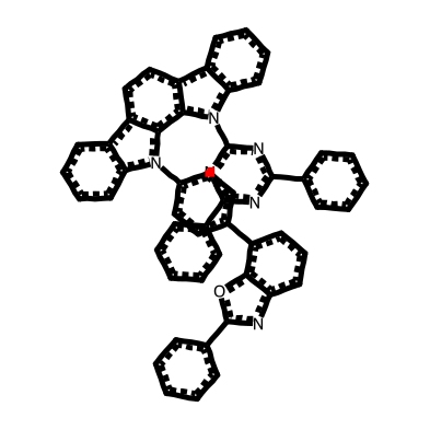 c1ccc(-c2nc(-c3ccccc3)nc(-n3c4ccccc4c4ccc5c6ccccc6n(-c6ccc(-c7cccc8nc(-c9ccccc9)oc78)cc6)c5c43)n2)cc1